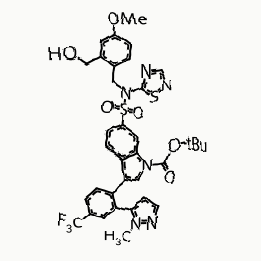 COc1ccc(CN(c2ncns2)S(=O)(=O)c2ccc3c(-c4ccc(C(F)(F)F)cc4-c4ccnn4C)cn(C(=O)OC(C)(C)C)c3c2)c(CO)c1